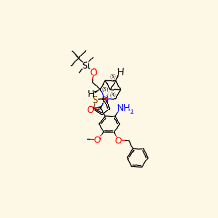 COc1cc(C(=O)N2CC3[C@H]4C([C@H]2CO[Si](C)(C)C(C)(C)C)[C@]34c2cccs2)c(N)cc1OCc1ccccc1